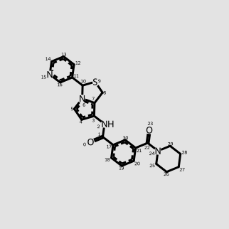 O=C(Nc1ccn2c1CSC2c1cccnc1)c1cccc(C(=O)N2CCCCC2)c1